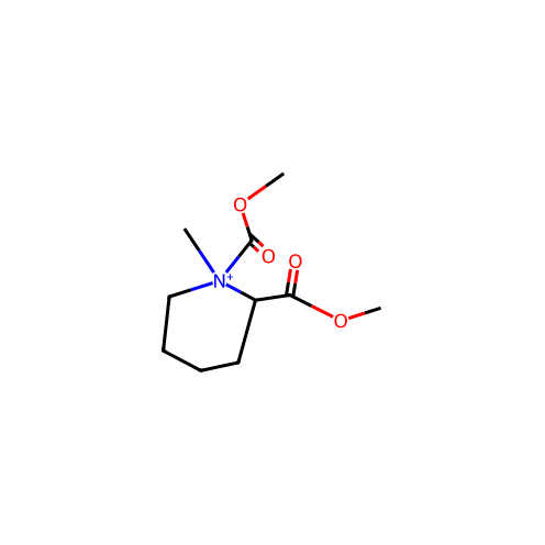 COC(=O)C1CCCC[N+]1(C)C(=O)OC